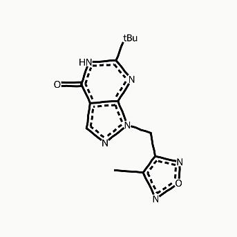 Cc1nonc1Cn1ncc2c(=O)[nH]c(C(C)(C)C)nc21